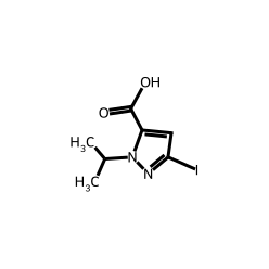 CC(C)n1nc(I)cc1C(=O)O